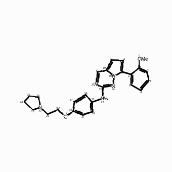 COc1ccccc1-c1ccc2cnc(Nc3ccc(OCCN4CCCC4)cc3)nn12